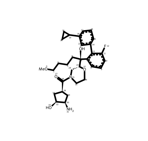 COCCCC[C@](O)(c1cccc(F)c1-c1cccc(C2CC2)c1)[C@H]1CN(C(=O)[C@H]2C[C@@H](N)[C@@H](O)C2)CCO1